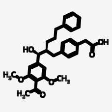 COc1cc([C@@H](O)[C@@H](CCCc2ccccc2)Cc2ccc(CC(=O)O)cc2)cc(OC)c1C(C)=O